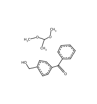 COC(C)OC.O=C(c1ccccc1)c1ccc(CO)cc1